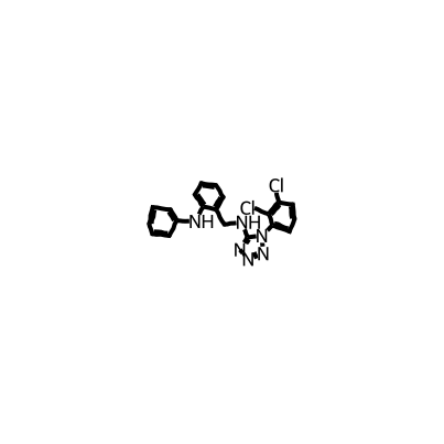 Clc1cccc(-n2nnnc2NCc2ccccc2Nc2ccccc2)c1Cl